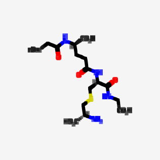 CCCCCCCCCCCC(=O)N[C@H](CCC(=O)N[C@H](CSC[C@H](N)C(=O)O)C(=O)NCC(=O)O)C(=O)O